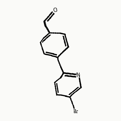 O=Cc1ccc(-c2ccc(Br)cn2)cc1